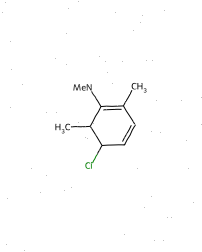 CNC1=C(C)C=CC(Cl)C1C